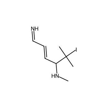 CNC(C=CC=N)C(C)(C)I